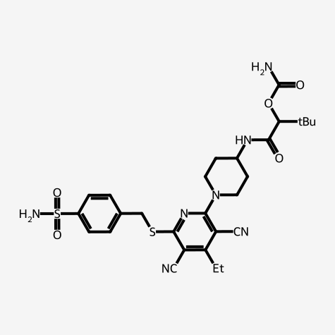 CCc1c(C#N)c(SCc2ccc(S(N)(=O)=O)cc2)nc(N2CCC(NC(=O)C(OC(N)=O)C(C)(C)C)CC2)c1C#N